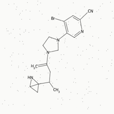 C=C(CC(C)C12CC1N2)N1CCN(c2cnc(C#N)cc2Br)C1